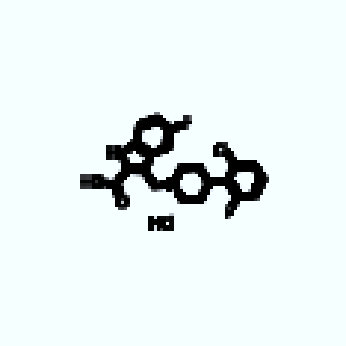 Cl.O=C(O)c1[nH]c2ccc(F)cc2c1CN1CCC(c2c(F)cccc2Cl)CC1